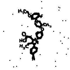 CCOc1ccc(F)c(N2CC[C@@H](Oc3ccc(N4N=C(c5ccc(C#N)cc5)C(CC)C4CC(=O)O)cc3)[C@@H](C)C2)c1